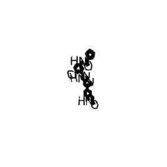 O=C1Cc2cc(-c3cnc4nc(-c5cc(NC(=O)C6CCCC6)ccc5Cl)[nH]c4c3)ccc2N1